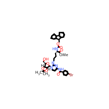 COC(=O)[C@H](CCCC/N=c1\nc(NC(=O)c2ccc(Br)cc2)ccn1[C@@H]1O[C@H](CO)[C@H]2OC(C)(C)O[C@H]21)NC(=O)OCC1c2ccccc2-c2ccccc21